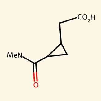 CNC(=O)C1CC1CC(=O)O